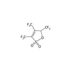 O=S1(=O)OC(C(F)(F)F)C(C(F)(F)F)=C1C(F)(F)F